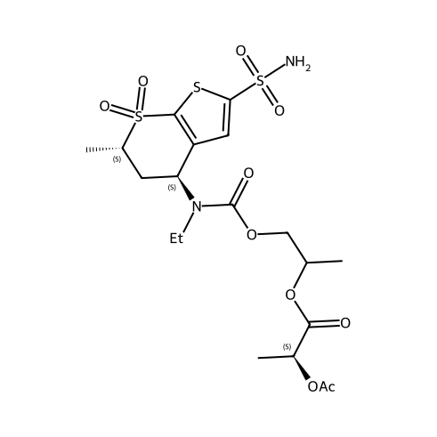 CCN(C(=O)OCC(C)OC(=O)[C@H](C)OC(C)=O)[C@H]1C[C@H](C)S(=O)(=O)c2sc(S(N)(=O)=O)cc21